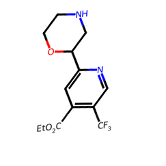 CCOC(=O)c1cc(C2CNCCO2)ncc1C(F)(F)F